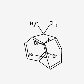 CC1(C)c2ccc(c(Br)c2Br)-c2ccc1c(Br)c2Br